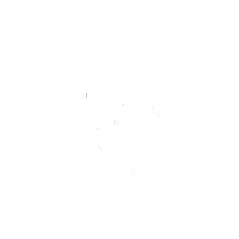 CC(=O)Oc1cn(-c2c(F)cccc2F)nn1